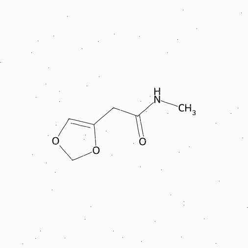 CNC(=O)CC1=COCO1